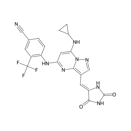 N#Cc1ccc(Nc2cc(NC3CC3)n3ncc(/C=C4\NC(=O)NC4=O)c3n2)c(C(F)(F)F)c1